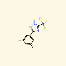 Cc1cc(C)cc(-c2n[nH]c(C(F)(F)F)n2)c1